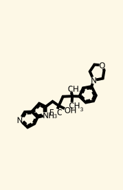 CC(C)(CC(O)(Cc1cc2cnccc2[nH]1)C(F)(F)F)c1cccc(N2CCOCC2)c1